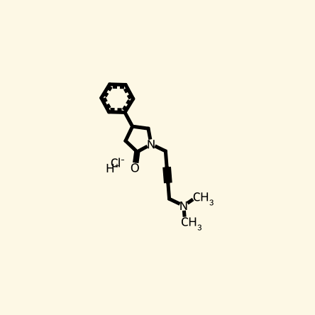 CN(C)CC#CCN1CC(c2ccccc2)CC1=O.[Cl-].[H+]